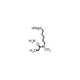 C=CC(=O)N(C)CCCCCCCCCCCC.N